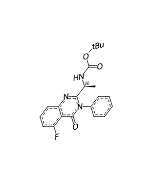 C[C@H](NC(=O)OC(C)(C)C)c1nc2cccc(F)c2c(=O)n1-c1ccccc1